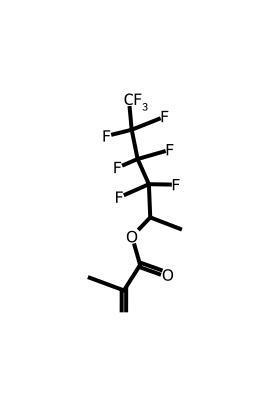 C=C(C)C(=O)OC(C)C(F)(F)C(F)(F)C(F)(F)C(F)(F)F